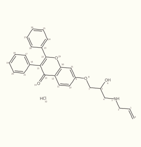 C=CCNCC(O)COc1ccc2c(=O)c(-c3ccccc3)c(-c3ccccc3)oc2c1.Cl